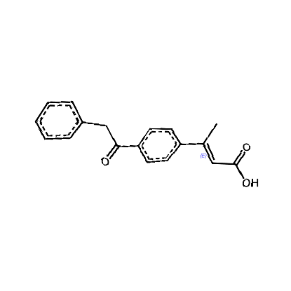 C/C(=C\C(=O)O)c1ccc(C(=O)Cc2ccccc2)cc1